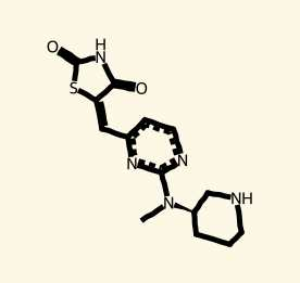 CN(c1nccc(C=C2SC(=O)NC2=O)n1)[C@@H]1CCCNC1